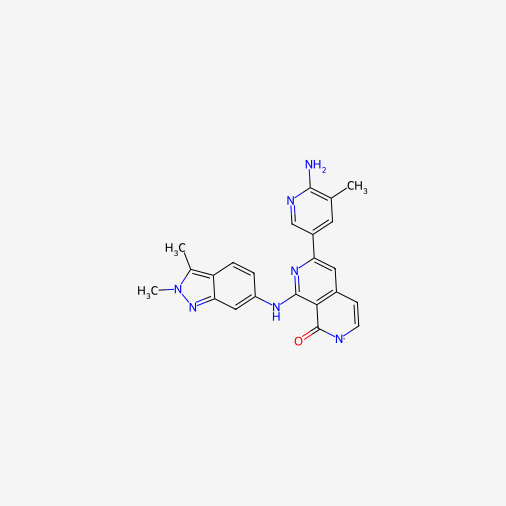 Cc1cc(-c2cc3c(c(Nc4ccc5c(C)n(C)nc5c4)n2)C(=O)[N]C=C3)cnc1N